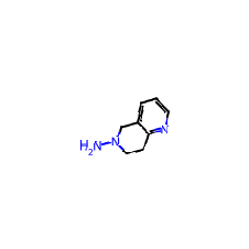 NN1CCc2ncccc2C1